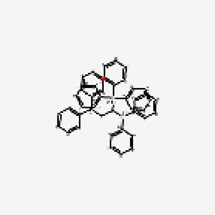 c1ccc(P(CC(P(c2ccccc2)c2ccccc2)[PH](c2ccccc2)(c2ccccc2)c2ccccc2)c2ccccc2)cc1